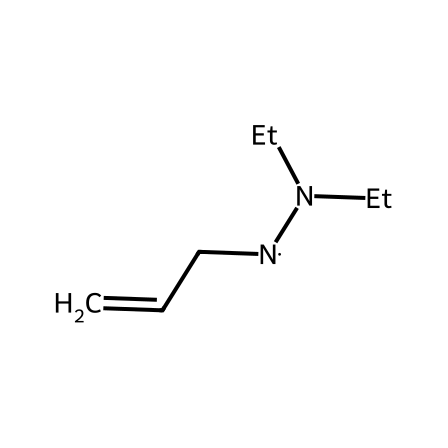 C=CC[N]N(CC)CC